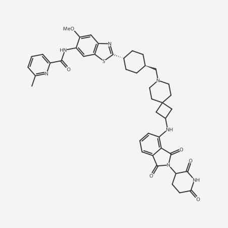 COc1cc2nc([C@H]3CC[C@H](CN4CCC5(CC4)CC(Nc4cccc6c4C(=O)N(C4CCC(=O)NC4=O)C6=O)C5)CC3)sc2cc1NC(=O)c1cccc(C)n1